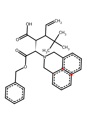 C=CC(C(C(=O)O)[C@@H](C(=O)OCc1ccccc1)N(Cc1ccccc1)Cc1ccccc1)C(C)(C)C